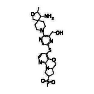 CC1OCC2(CCN(c3ncc(Sc4ccnc5c4OCC4CC(S(C)(=O)=O)CN54)nc3CO)CC2)C1N